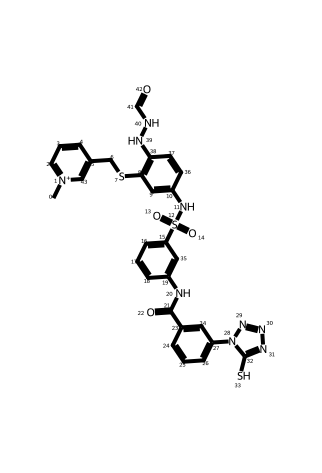 C[n+]1cccc(CSc2cc(NS(=O)(=O)c3cccc(NC(=O)c4cccc(-n5nnnc5S)c4)c3)ccc2NNC=O)c1